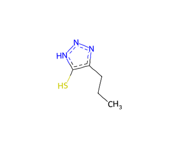 CCCc1nn[nH]c1S